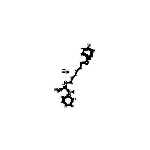 NC(=NCCCCCCOc1ccc(Cl)cc1)N[n+]1ccccc1.[Cl-]